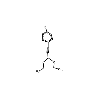 CCOC(C#Cc1ccc(F)cc1)OCC